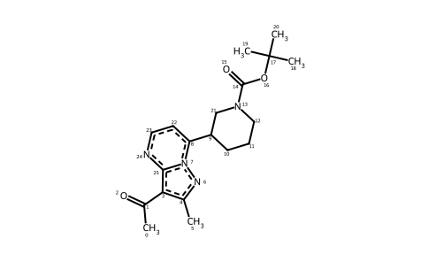 CC(=O)c1c(C)nn2c(C3CCCN(C(=O)OC(C)(C)C)C3)ccnc12